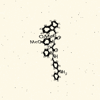 COc1ccc(N(CC(Oc2ccccc2)C(=O)NNCc2ccc(C(N)c3ccccc3)cc2)C(=O)OCC2c3ccccc3-c3ccccc32)c(OC)c1